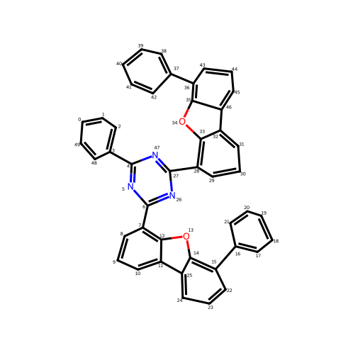 c1ccc(-c2nc(-c3cccc4c3oc3c(-c5ccccc5)cccc34)nc(-c3cccc4c3oc3c(-c5ccccc5)cccc34)n2)cc1